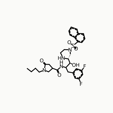 CCCCN1CC(C(=O)NC(Cc2cc(F)cc(F)c2)[C@H](O)[C@H]2CN(S(=O)(=O)c3cccc4ccccc34)CCN2)CC1=O